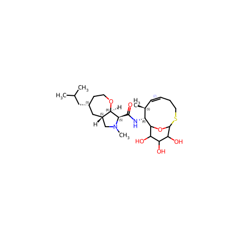 CC(C)C[C@@H]1CCO[C@@H]2[C@@H](C1)CN(C)[C@@H]2C(=O)N[C@H]1C2OC(SCC/C=C\[C@@H]1C)C(O)C(O)C2O